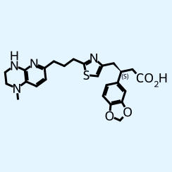 CN1CCNc2nc(CCCc3nc(C[C@@H](CC(=O)O)c4ccc5c(c4)OCO5)cs3)ccc21